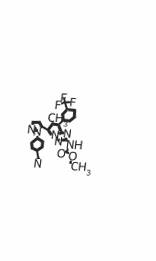 CCOC(=O)Nc1nc2c(-c3cccc(C(F)(F)F)c3)c(C)c(-c3ccnn3-c3ccc(C#N)cc3)cn2n1